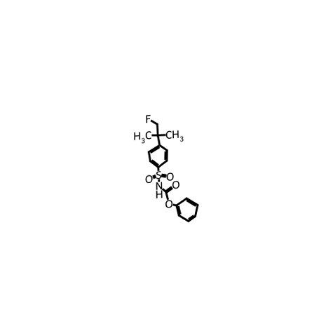 CC(C)(CF)c1ccc(S(=O)(=O)NC(=O)Oc2ccccc2)cc1